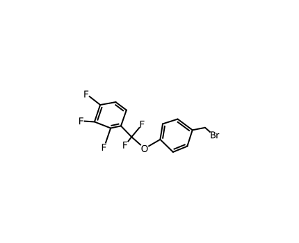 Fc1ccc(C(F)(F)Oc2ccc(CBr)cc2)c(F)c1F